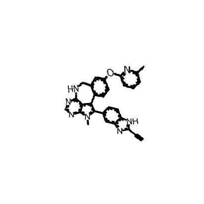 C#Cc1nc2cc(-c3c4c5c(ncnc5n3C)NCc3cc(Oc5cccc(C)n5)ccc3-4)ccc2[nH]1